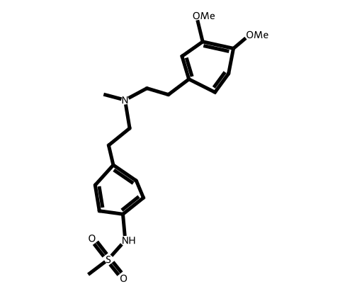 COc1ccc(CCN(C)CCc2ccc(NS(C)(=O)=O)cc2)cc1OC